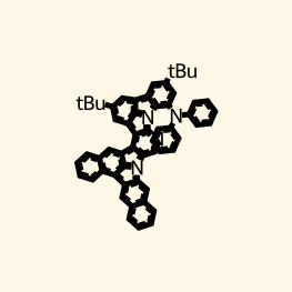 CC(C)(C)c1cc(N(c2ccccc2)c2ccccc2)c2c(c1)c1cc(C(C)(C)C)cc3c4c5c6cc7ccccc7c7c8cc9ccccc9cc8n(c5cnc4n2c13)c67